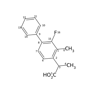 Cc1c(C(C)C(=O)O)ccc(-c2ccccc2)c1F